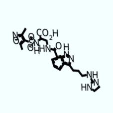 Cc1noc(C)c1S(=O)(=O)NC(CNC(=O)c1cccc2c(CCCNC3=NCCN3)n[nH]c12)C(=O)O